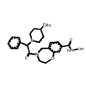 O=C(NO)c1ccc2c(c1)OCCN(C(=O)C(c1ccccc1)N1CCC(O)CC1)C2